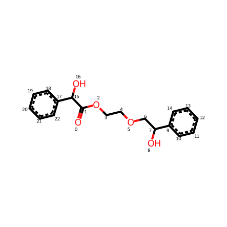 O=C(OCCOCC(O)c1ccccc1)C(O)c1ccccc1